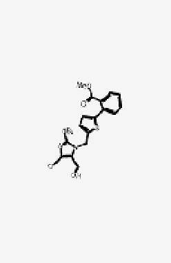 CCCCc1nc(Cl)c(CO)n1Cc1ccc(-c2ccccc2C(=O)OC)s1